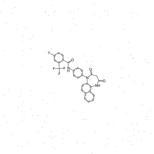 O=C1CC(=O)N(c2ccc(NC(=O)c3ccc(F)cc3C(F)(F)F)cc2)c2ccc3ccccc3c2N1